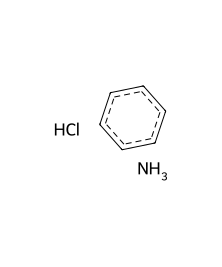 Cl.N.c1ccccc1